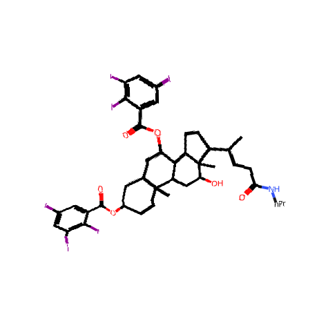 CCCNC(=O)CCC(C)C1CCC2C3C(OC(=O)c4cc(I)cc(I)c4I)CC4CC(OC(=O)c5cc(I)cc(I)c5I)CCC4(C)C3CC(O)C12C